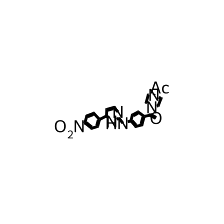 CC(=O)N1CCN(C(=O)c2ccc(Nc3nccc(-c4ccc([N+](=O)[O-])cc4)n3)cc2)CC1